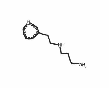 NCCCNCCc1cccnc1